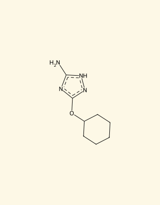 Nc1nc(OC2CCCCC2)n[nH]1